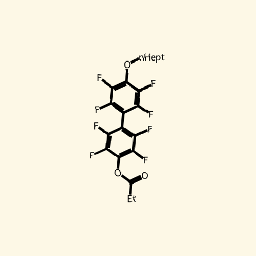 CCCCCCCOc1c(F)c(F)c(-c2c(F)c(F)c(OC(=O)CC)c(F)c2F)c(F)c1F